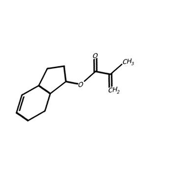 C=C(C)C(=O)OC1CCC2C=CCCC21